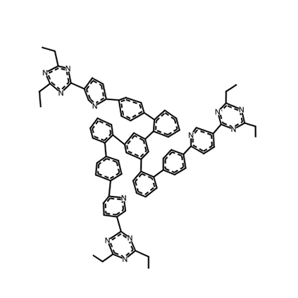 CCc1nc(CC)nc(-c2ccc(-c3ccc(-c4ccccc4-c4cc(-c5ccccc5-c5ccc(-c6ccc(-c7nc(CC)nc(CC)n7)cn6)cc5)cc(-c5ccccc5-c5ccc(-c6ccc(-c7nc(CC)nc(CC)n7)cn6)cc5)c4)cc3)nc2)n1